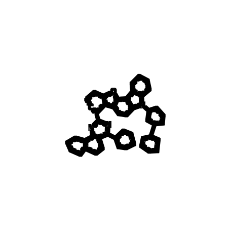 c1ccc(-c2cccc(-n3c4ccccc4c4c5oc6cccc(-c7nc(-c8ccccc8)c8ccc9ccccc9c8n7)c6c5ccc43)c2)cc1